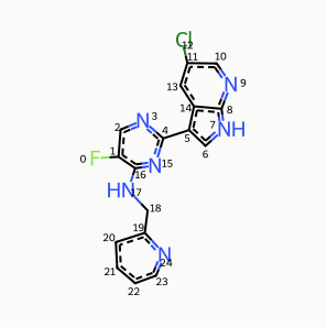 Fc1cnc(-c2c[nH]c3ncc(Cl)cc23)nc1NCc1ccccn1